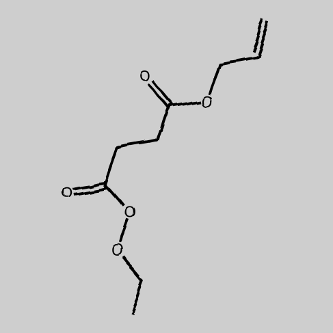 C=CCOC(=O)CCC(=O)OOCC